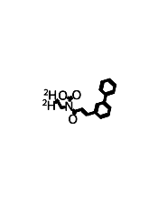 [2H]C1([2H])CN(C(=O)/C=C/c2cccc(-c3ccccc3)c2)C(=O)O1